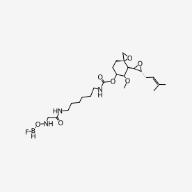 COC1C(OC(=O)NCCCCCCNC(=O)CNOBF)CC[C@]2(CO2)C1[C@H]1O[C@@H]1CC=C(C)C